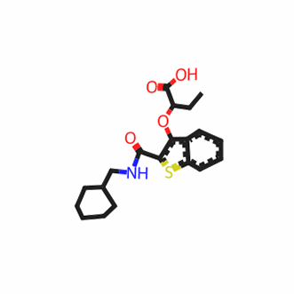 CCC(Oc1c(C(=O)NCC2CCCCC2)sc2ccccc12)C(=O)O